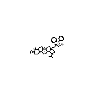 C=C(C)[C@@H]1CC[C@]2(CCC(C)(C)[Si](O)(c3ccccc3)c3ccccc3)CC[C@]3(C)C(CCC4[C@@]5(C)CC[C@H](OC)C(C)(C)C5CC[C@]43C)C12